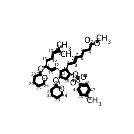 COC(=O)CCCC=CC[C@@H]1[C@@H](C=C[C@H](CCC=C(C)C)OC2CCCCO2)[C@H](OC2CCCCO2)C[C@@H]1OS(=O)(=O)c1ccc(C)cc1